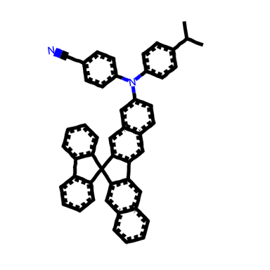 CC(C)c1ccc(N(c2ccc(C#N)cc2)c2ccc3cc4c(cc3c2)C2(c3ccccc3-c3ccccc32)c2cc3ccccc3cc2-4)cc1